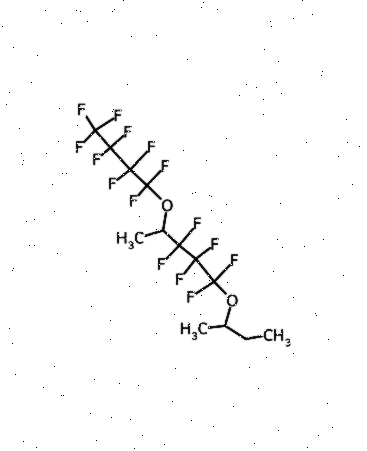 CCC(C)OC(F)(F)C(F)(F)C(F)(F)C(C)OC(F)(F)C(F)(F)C(F)(F)C(F)(F)F